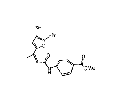 COC(=O)c1ccc(NC(=O)C=C(C)c2cc(C(C)C)c(C(C)C)o2)cc1